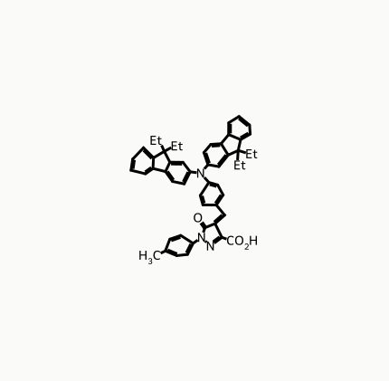 CCC1(CC)c2ccccc2-c2ccc(N(c3ccc(/C=C4\C(=O)N(c5ccc(C)cc5)N=C4C(=O)O)cc3)c3ccc4c(c3)C(CC)(CC)c3ccccc3-4)cc21